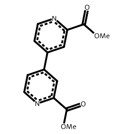 COC(=O)c1cc(-c2ccnc(C(=O)OC)c2)ccn1